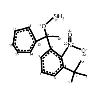 CC(C)(C)c1cccc(C(C)(O[SiH3])c2ccccc2)c1[N+](=O)[O-]